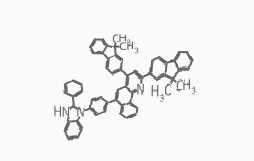 CC1(C)c2ccccc2-c2ccc(-c3cc(-c4ccc5c(c4)C(C)(C)c4ccccc4-5)c4cc(-c5ccc(N6c7ccccc7NC6c6ccccc6)cc5)c5ccccc5c4n3)cc21